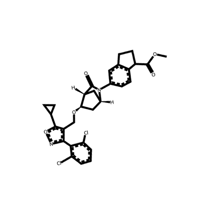 COC(=O)C1CCc2cc(N3C(=O)[C@@H]4C[C@H]3C[C@H]4OCc3c(-c4c(Cl)cccc4Cl)noc3C3CC3)ccc21